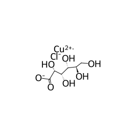 O=C([O-])[C@H](O)[C@@H](O)[C@H](O)[C@H](O)CO.[Cl-].[Cu+2]